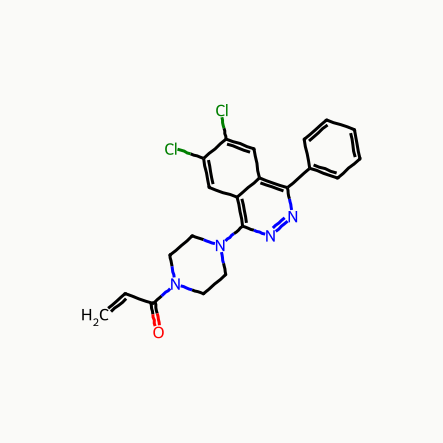 C=CC(=O)N1CCN(c2nnc(-c3ccccc3)c3cc(Cl)c(Cl)cc23)CC1